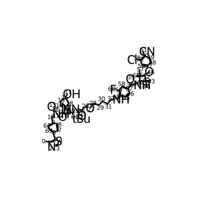 Cc1ncsc1-c1ccc(CNC(=O)[C@@H]2C[C@@H](O)CN2C(=O)[C@@H](NC(=O)COCCCCCNc2ccc(C(=O)N[C@H]3C(C)(C)[C@H](Oc4ccc(C#N)c(Cl)c4)C3(C)C)cc2F)C(C)(C)C)cc1